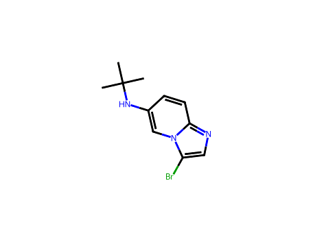 CC(C)(C)Nc1ccc2ncc(Br)n2c1